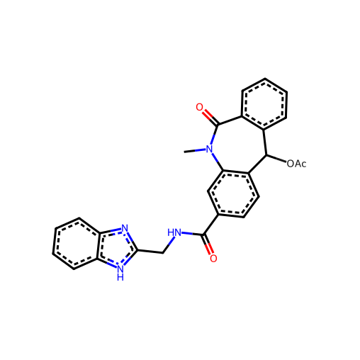 CC(=O)OC1c2ccccc2C(=O)N(C)c2cc(C(=O)NCc3nc4ccccc4[nH]3)ccc21